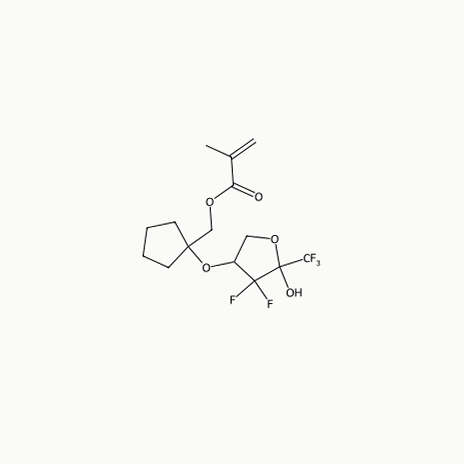 C=C(C)C(=O)OCC1(OC2COC(O)(C(F)(F)F)C2(F)F)CCCC1